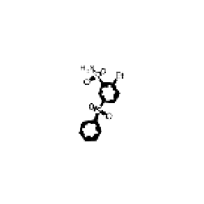 CCc1ccc(S(=O)(=O)c2ccccc2)cc1S(N)(=O)=O